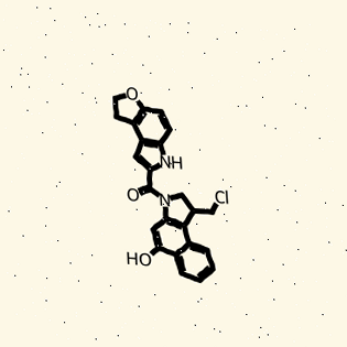 O=C(c1cc2c3c(ccc2[nH]1)OCC3)N1CC(CCl)c2c1cc(O)c1ccccc21